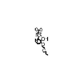 CCCOCCOc1ccnc(C2=N[C@@](C)(C(=O)OC)CS2)c1O